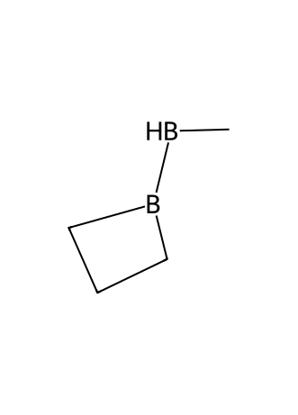 CBB1CCC1